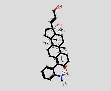 CN(C)c1ccccc1C1=C2CC[C@@H]3[C@H](CC[C@@]4(C)[C@H]3CC[C@@]4(O)/C=C/CO)[C@H]2CCC1=O